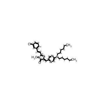 CCCCCCN(CCCCCC)c1cnc(/C=C2N=C(/C=C/c3cccc(Cl)c3)N(C)C\2=O)cn1